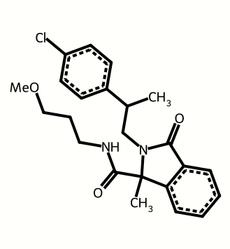 COCCCNC(=O)C1(C)c2ccccc2C(=O)N1CC(C)c1ccc(Cl)cc1